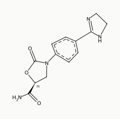 NC(=O)[C@@H]1CN(c2ccc(C3=NCCN3)cc2)C(=O)O1